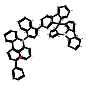 c1ccc(-c2ccc(-c3ccccc3N(c3ccccc3)c3ccc(-c4ccc5c(c4)C4(c6ccccc6-5)c5ccccc5-n5c6ccccc6c6cccc4c65)c4ccccc34)cc2)cc1